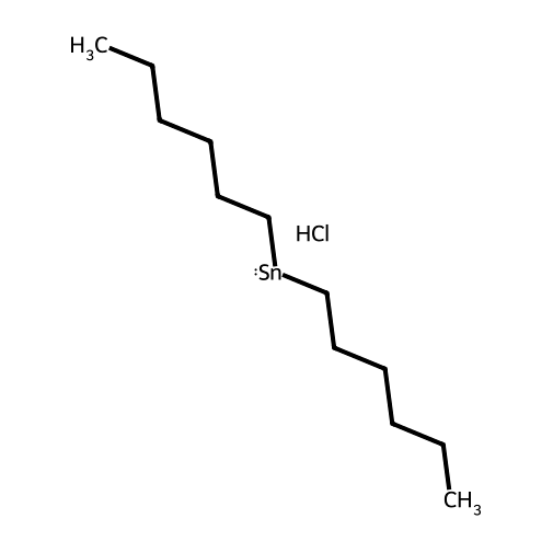 CCCCC[CH2][Sn][CH2]CCCCC.Cl